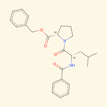 CC(C)C[C@H](NC(=O)c1ccccc1)C(=O)N1CCC[C@H]1C(=O)OCc1ccccc1